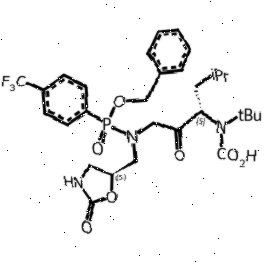 CC(C)C[C@@H](C(=O)CN(C[C@@H]1CNC(=O)O1)P(=O)(OCc1ccccc1)c1ccc(C(F)(F)F)cc1)N(C(=O)O)C(C)(C)C